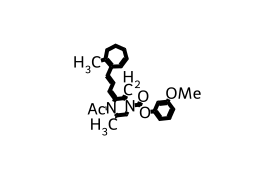 C=C1/C(=C\C=C\C2=C(C)CCCC=C2)N(C(C)=O)[C@@H](C)CN1C(=O)Oc1cccc(OC)c1